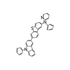 c1ccc(N(c2ccc3sc4cc(-c5ccc6c(c5)c5ccccc5n6-c5ccccc5)ccc4c3c2)c2ccccn2)cc1